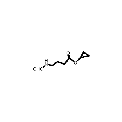 O=CNCCCC(=O)OC1CC1